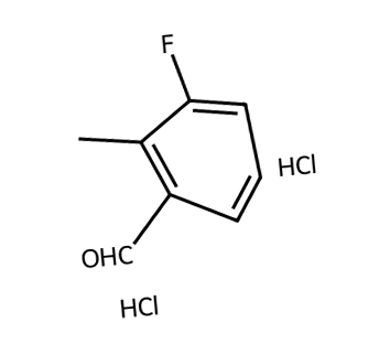 Cc1c(F)cccc1C=O.Cl.Cl